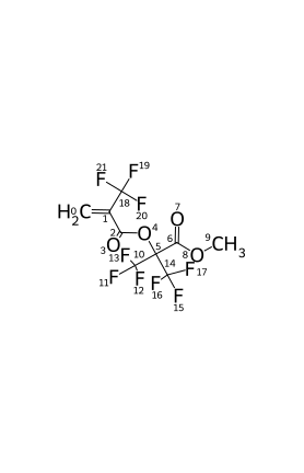 C=C(C(=O)OC(C(=O)OC)(C(F)(F)F)C(F)(F)F)C(F)(F)F